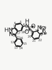 O=S(=O)(Nc1ccc2[nH]nc(-c3ccccc3)c2c1)c1cccc2nonc12